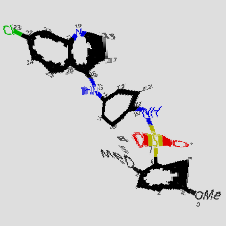 COc1ccc(OC)c(S(=O)(=O)NC2CCC(Nc3ccnc4cc(Cl)ccc34)CC2)c1